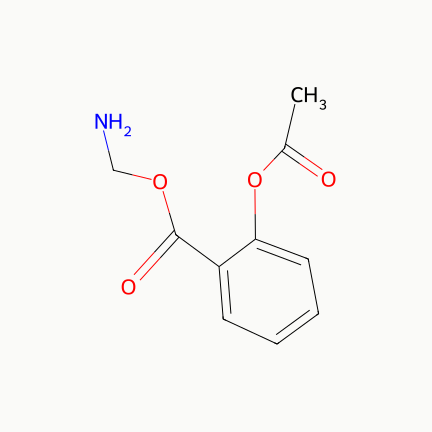 CC(=O)Oc1ccccc1C(=O)OCN